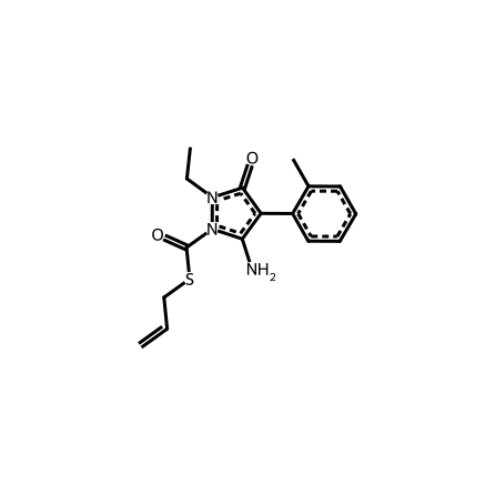 C=CCSC(=O)n1c(N)c(-c2ccccc2C)c(=O)n1CC